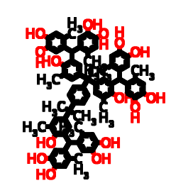 Cc1cc(O)c(O)cc1C(c1cc(O)c(O)cc1C)c1cc(C(C)(C)c2ccc(C(C)(c3cc(C)c(O)c(C(c4cc(O)c(O)cc4C)c4cc(O)c(O)cc4C)c3)c3cc(C)c(O)c(C(c4cc(O)c(O)cc4C)c4cc(O)c(O)cc4C)c3)cc2)cc(C)c1O